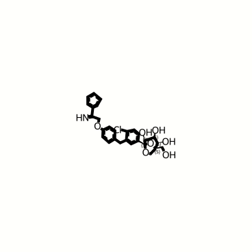 N=C(COc1ccc(Cc2cc([C@]34OC[C@](CO)(O3)[C@@H](O)[C@H](O)[C@H]4O)ccc2Cl)cc1)c1ccccc1